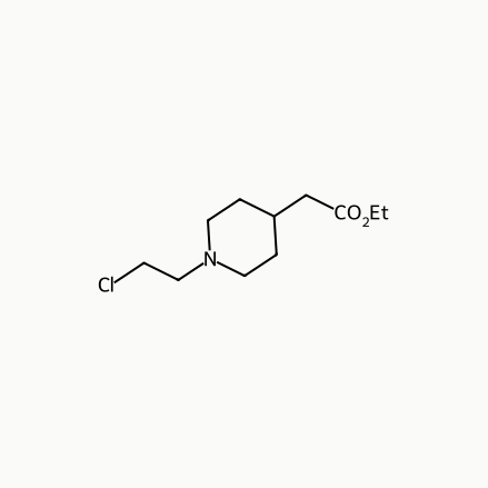 CCOC(=O)CC1CCN(CCCl)CC1